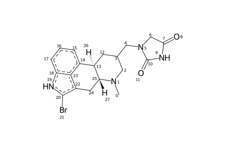 CN1CC(CN2CC(=O)NC2=O)C[C@@H]2c3cccc4[nH]c(Br)c(c34)C[C@H]21